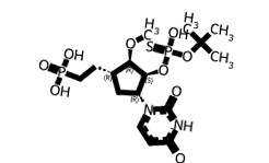 CO[C@@H]1[C@@H](CCP(=O)(O)O)C[C@@H](n2ccc(=O)[nH]c2=O)[C@@H]1OP(O)(=S)OC(C)(C)C